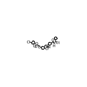 CC[C@@H](NC(=O)c1ccc2c(c1)nnn2Cc1cc(OCC(=O)Oc2ccc(Cl)cc2Cl)ccc1Cl)c1ccccc1